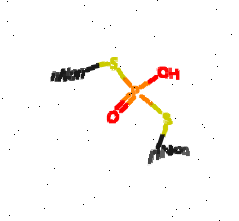 CCCCCCCCCSP(=O)(O)SCCCCCCCCC